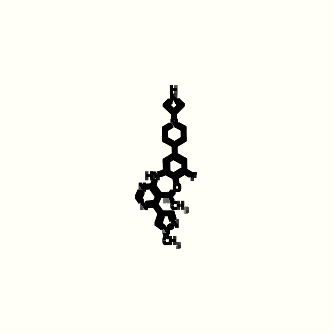 C[C@@H]1Oc2c(F)cc(C3CCN(C4CNC4)CC3)cc2Nc2ncnc(-c3cnn(C)c3)c21